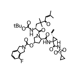 C=C[C@@H]1C[C@]1(NC(=O)C1CC(OC(=O)N2Cc3cccc(F)c3C2)CN1C(=O)[C@H](CC(C)(C)C(=O)C=C(C)C)NC(=O)OC(C)(C)C)C(=O)NS(=O)(=O)C1CC1